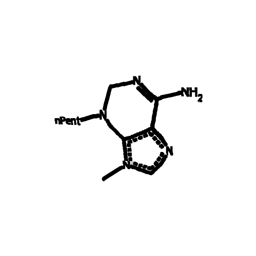 CCCCCN1CN=C(N)c2ncn(C)c21